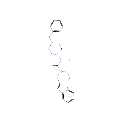 Cl.O=C(CN1CCC(Cc2ccccc2)CC1)N1CCn2c(cc3ccccc32)C1